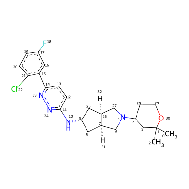 CC1(C)CC(N2C[C@H]3C[C@H](Nc4ccc(-c5cc(F)ccc5Cl)nn4)C[C@H]3C2)CCO1